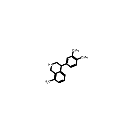 COc1ccc(C2CNCc3c(C)cccc32)cc1OC